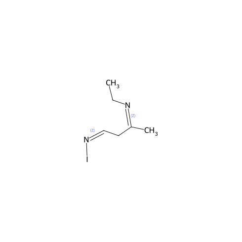 CC/N=C(/C)C/C=N\I